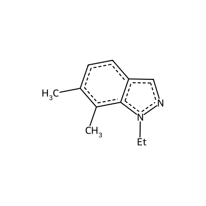 CCn1ncc2ccc(C)c(C)c21